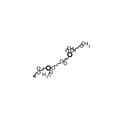 COCCCCOc1ccc(/C=C/C(=O)OCCCCOc2ccc(/C=C/C(=O)OCC3CC3)cc2OC)cc1OC